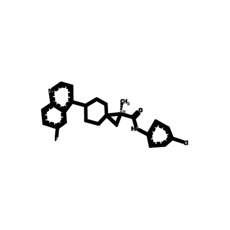 C[C@]1(C(=O)Nc2ccc(Cl)cc2)CC12CCC(c1ccnc3ccc(F)cc13)CC2